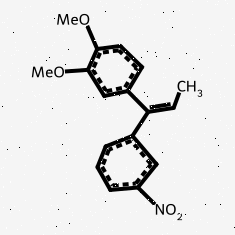 CC=C(c1cccc([N+](=O)[O-])c1)c1ccc(OC)c(OC)c1